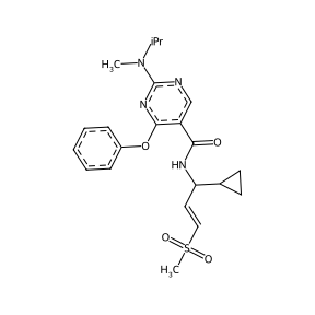 CC(C)N(C)c1ncc(C(=O)NC(C=CS(C)(=O)=O)C2CC2)c(Oc2ccccc2)n1